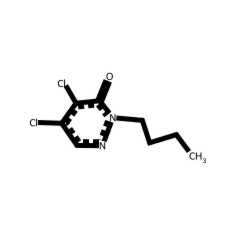 CCCCn1ncc(Cl)c(Cl)c1=O